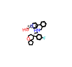 Fc1ccc([C@]2(CCNCc3ccccc3-c3ccncc3)CCOC3(CCCC3)C2)cc1.O=S(=O)(O)O